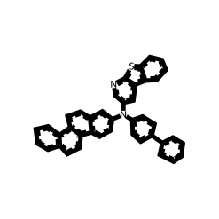 c1ccc(-c2ccc(N(c3ccc4c(ccc5c6ccccc6ccc45)c3)c3cnc4sc5ccccc5c4c3)cc2)cc1